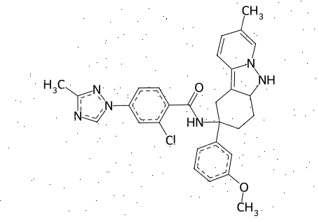 COc1cccc(C2(NC(=O)c3ccc(-n4cnc(C)n4)cc3Cl)CCC3NN4C=C(C)C=CC4=C3C2)c1